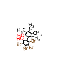 Cc1c(C)c(C)c(-c2c(O)c(Br)c(Br)c(Br)c2Br)c(O)c1C